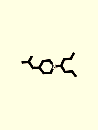 CCCC(CCC)N1CCC(CC(C)C)CC1